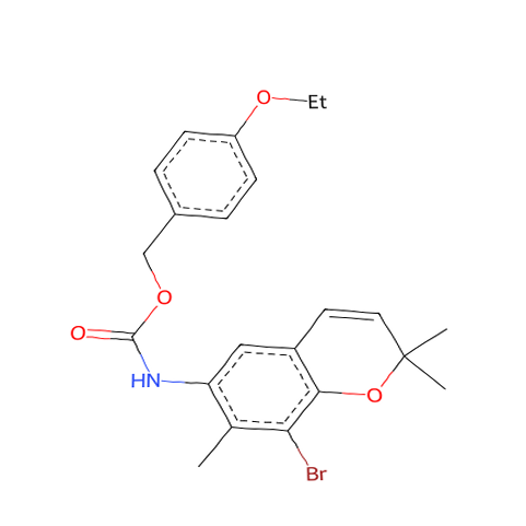 CCOc1ccc(COC(=O)Nc2cc3c(c(Br)c2C)OC(C)(C)C=C3)cc1